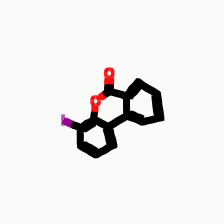 O=c1oc2c(I)cccc2c2ccccc12